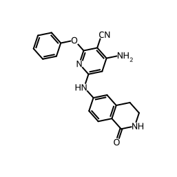 N#Cc1c(N)cc(Nc2ccc3c(c2)CCNC3=O)nc1Oc1ccccc1